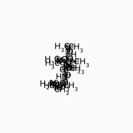 CCNCC(=O)O[C@](CCCCC(=O)CN(C)CC)(CC(CNC(=O)CCC(=O)NCCOC(C)(C)CCOC(C)(C)CC(=O)BP)CN(C)CC)OC(=O)CN(C)CC